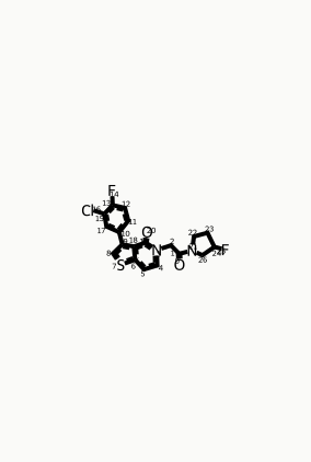 O=C(Cn1ccc2scc(-c3ccc(F)c(Cl)c3)c2c1=O)N1CCC(F)C1